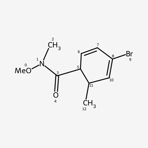 CON(C)C(=O)C1C=CC(Br)=CC1C